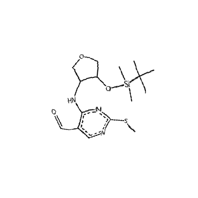 CSc1ncc(C=O)c(NC2COCC2O[Si](C)(C)C(C)(C)C)n1